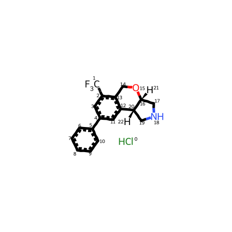 Cl.FC(F)(F)c1cc(-c2ccccc2)cc2c1CO[C@@H]1CNC[C@H]21